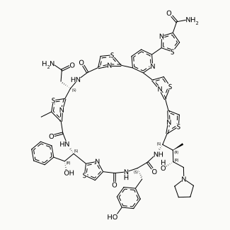 Cc1sc2nc1C(=O)N[C@@H]([C@H](O)c1ccccc1)c1nc(cs1)C(=O)N[C@@H](Cc1ccc(O)cc1)C(=O)N[C@@H]([C@@H](C)[C@@H](O)CN1CCCC1)c1nc(cs1)-c1nc(cs1)-c1nc(-c3nc(C(N)=O)cs3)ccc1-c1nc(cs1)C(=O)N[C@H]2CC(N)=O